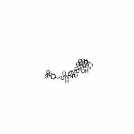 CC(C)(C)[Si](C)(C)OC1C[C@H](n2ccc(NC(=O)OCCc3ccc([N+](=O)[O-])cc3)nc2=O)O[C@@H]1CO